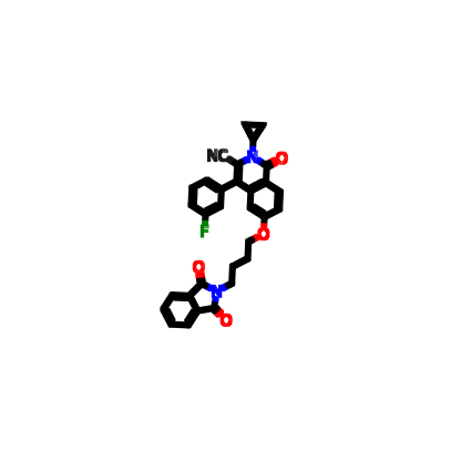 N#Cc1c(-c2cccc(F)c2)c2cc(OCCCCN3C(=O)c4ccccc4C3=O)ccc2c(=O)n1C1CC1